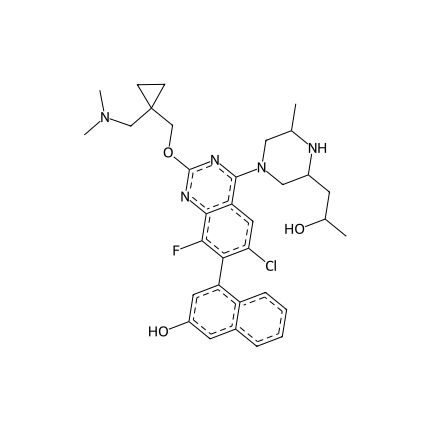 CC(O)CC1CN(c2nc(OCC3(CN(C)C)CC3)nc3c(F)c(-c4cc(O)cc5ccccc45)c(Cl)cc23)CC(C)N1